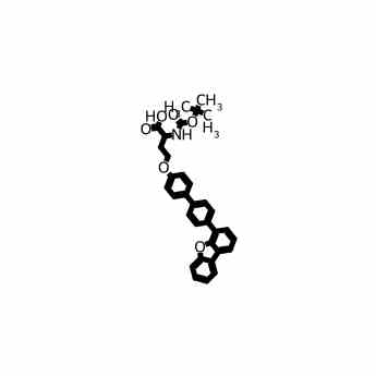 CC(C)(C)OC(=O)NC(CCOc1ccc(-c2ccc(-c3cccc4c3oc3ccccc34)cc2)cc1)C(=O)O